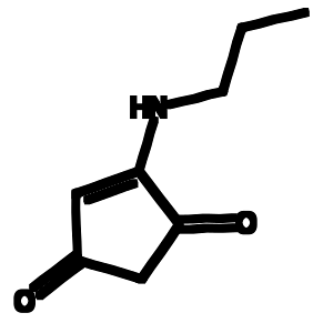 CCCNC1=CC(=O)CC1=O